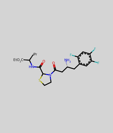 CCOC(=O)C(NC(=O)C1SCCN1C(=O)C[C@H](N)Cc1cc(F)c(F)cc1F)C(C)C